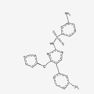 Cc1cccc(-c2cnc(NS(=O)(=O)c3cccc(N)c3)nc2Oc2ccccc2)c1